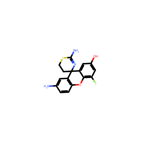 NC1=NC2(CCS1)c1cc(N)ccc1Oc1c(F)cc(O)cc12